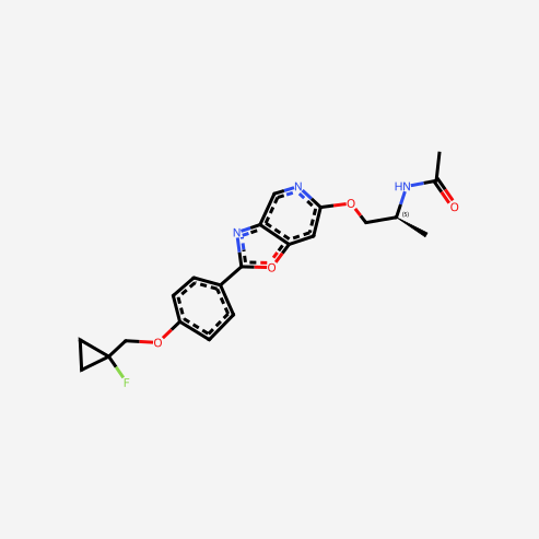 CC(=O)N[C@@H](C)COc1cc2oc(-c3ccc(OCC4(F)CC4)cc3)nc2cn1